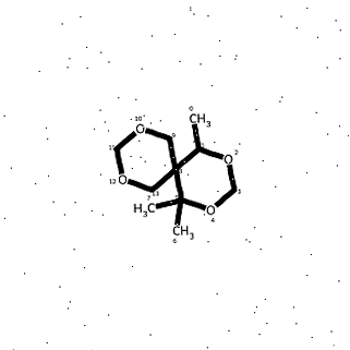 CC1OCOC(C)(C)C12COCOC2